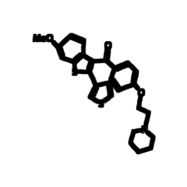 COc1ccc2c(C(=O)c3ccc(OCCN4CCCCC4)cc3)c(-c3ccsc3)sc2c1